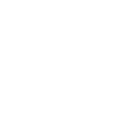 CCCCCCOC(=O)CC(=O)CCC